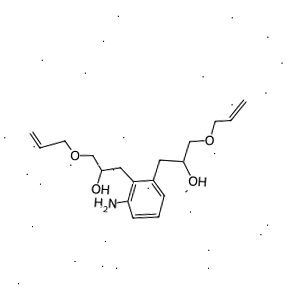 C=CCOCC(O)Cc1cccc(N)c1CC(O)COCC=C